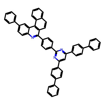 c1ccc(-c2ccc(-c3cc(-c4ccc(-c5ccccc5)cc4)nc(-c4ccc(-c5nc6ccc(-c7ccccc7)cc6c6c5ccc5ccccc56)cc4)n3)cc2)cc1